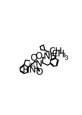 Cc1cccc(CC(C(=O)N[C@@H](C)C2CCC2)N2C(=O)N[C@]3(CCc4ccccc43)C2=O)c1